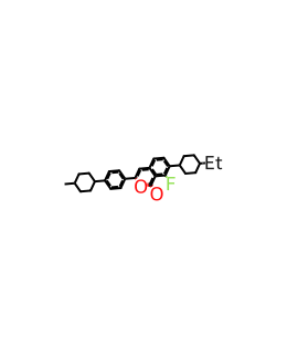 CCC1CCC(c2ccc3cc(-c4ccc(C5CCC(C)CC5)cc4)oc(=O)c3c2F)CC1